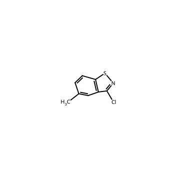 Cc1ccc2snc(Cl)c2c1